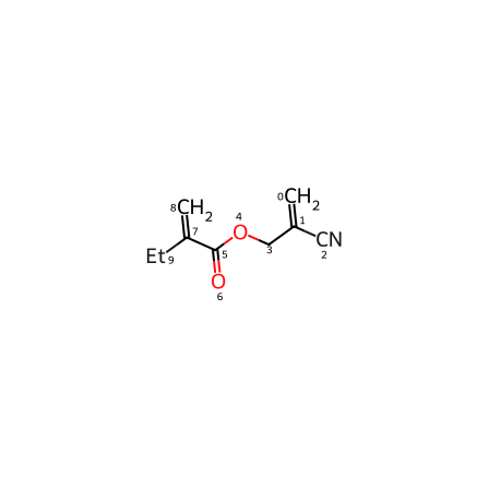 C=C(C#N)COC(=O)C(=C)CC